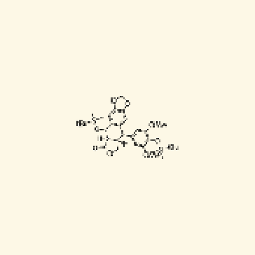 COc1cc([C@@H]2c3cc4c(cc3[C@H](O[Si](C)(C)C(C)(C)C)[C@@H]3C(=O)OC[C@@H]23)OCO4)cc(OC)c1O[Si](C)(C)C(C)(C)C